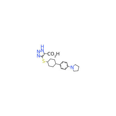 O=C(O)c1[nH]nnc1SC1CCC(c2ccc(N3CCCC3)cc2)CC1